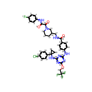 O=C(Nc1ccc(F)cc1)C(=O)N1CCCC(CNC(=O)c2ccc(Nc3nc(NC4(c5ccc(Cl)cc5)CC4)nc(OCC(F)(F)F)n3)cc2)C1